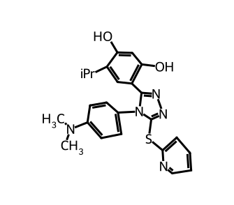 CC(C)c1cc(-c2nnc(Sc3ccccn3)n2-c2ccc(N(C)C)cc2)c(O)cc1O